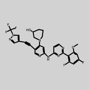 COc1cc(F)cc(F)c1-c1nccc(Nc2cc(N3CCC[C@H](O)C3)c(C#Cc3cnn(C(F)(F)F)c3)cn2)n1